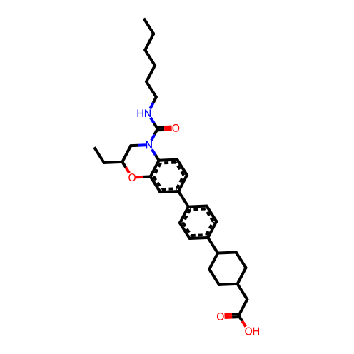 CCCCCCNC(=O)N1CC(CC)Oc2cc(-c3ccc(C4CCC(CC(=O)O)CC4)cc3)ccc21